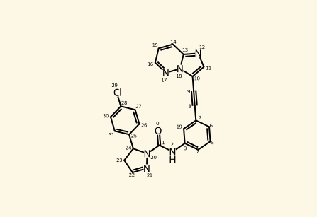 O=C(Nc1cccc(C#Cc2cnc3cccnn23)c1)N1N=CCC1c1ccc(Cl)cc1